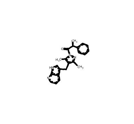 Cc1nn(C(=O)C(C)c2ccccc2)c(C)c1Cc1c[nH]c2ncccc12